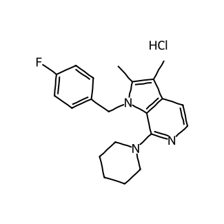 Cc1c(C)n(Cc2ccc(F)cc2)c2c(N3CCCCC3)nccc12.Cl